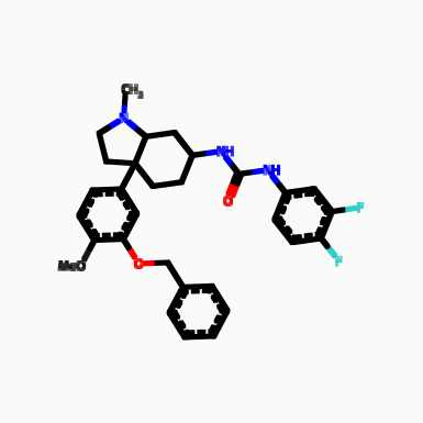 COc1ccc(C23CCC(NC(=O)Nc4ccc(F)c(F)c4)CC2N(C)CC3)cc1OCc1ccccc1